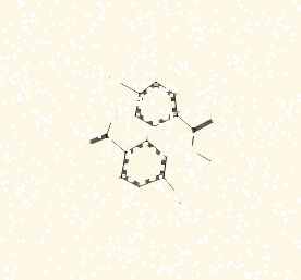 COC(=O)c1ccc(F)cc1.O=C(O)c1ccc(F)cc1